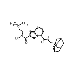 CCN(CCN(C)C)C(=O)c1cn2c(C(=O)NCC34CC5CC(CC(C5)C3)C4)cccc2n1